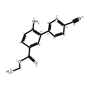 CCOC(=O)c1ccc(N)c(-c2ccc(C#N)nc2)c1